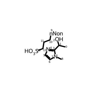 CC(O)c1nccn1C.CCCCCCCCCCCCS(=O)(=O)O